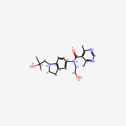 Cc1ncnc(C)c1C(=O)N(CCO)c1ccc2c(c1)CCN2CC(C)(C)O